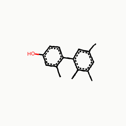 Cc1cc(C)c(C)c(-c2ccc(O)cc2C)c1